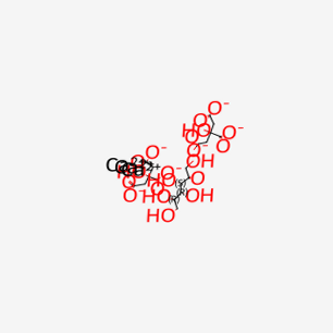 O=C(CO)[C@@H](O)[C@H](O)[C@H](O)CO.O=C([O-])CC(O)(CC(=O)[O-])C(=O)[O-].O=C([O-])CC(O)(CC(=O)[O-])C(=O)[O-].[Ca+2].[Ca+2].[Ca+2]